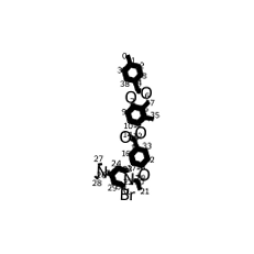 Cc1ccc(C(=O)Oc2ccc(OC(=O)c3ccc(OC(C)[n+]4ccc(N(C)C)cc4Br)cc3)c(C)c2C)cc1